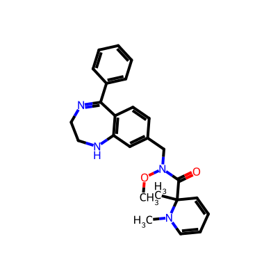 CON(Cc1ccc2c(c1)NCCN=C2c1ccccc1)C(=O)C1(C)C=CC=CN1C